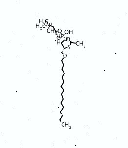 CCCCCCCCCCCCCCCCOC[C@H](CO[PH](O)(O)OCC[N+](C)(C)C)SC(C)=O